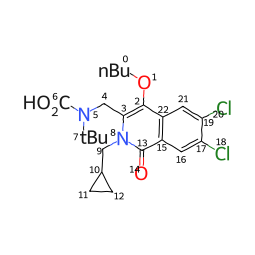 CCCCOc1c(CN(C(=O)O)C(C)(C)C)n(CC2CC2)c(=O)c2cc(Cl)c(Cl)cc12